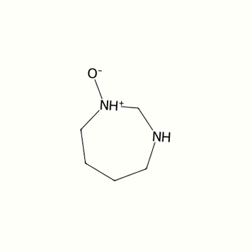 [O-][NH+]1CCCCNC1